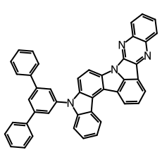 c1ccc(-c2cc(-c3ccccc3)cc(-n3c4ccccc4c4c5c6cccc7c8nc9ccccc9nc8n(c5ccc43)c76)c2)cc1